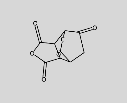 O=C1CC2C(=O)CC1C1C(=O)OC(=O)C21